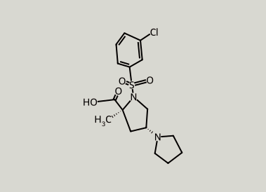 C[C@@]1(C(=O)O)C[C@@H](N2CCCC2)CN1S(=O)(=O)c1cccc(Cl)c1